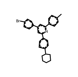 Cc1ccc(-c2cc(-c3ccc(Br)cc3)cc(-c3ccc(C4CCCCC4)cc3)n2)cc1